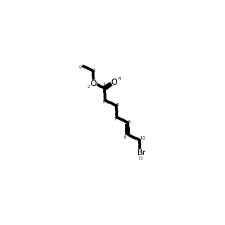 CCOC(=O)CCCC=CCBr